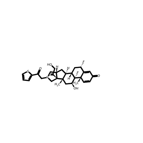 C[C@]12C=CC(=O)C=C1[C@@H](F)C[C@H]1[C@@H]3C[C@H]4CN(CC(=O)c5cccs5)C[C@@]4(C(=O)CO)[C@@]3(C)C[C@H](O)[C@@]12F